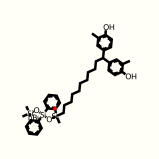 CCCC[Si](C)(C)O[Si](O[Si](C)(C)CCCCCCCCCCC(c1ccc(O)c(C)c1)c1ccc(O)c(C)c1)(c1ccccc1)c1ccccc1